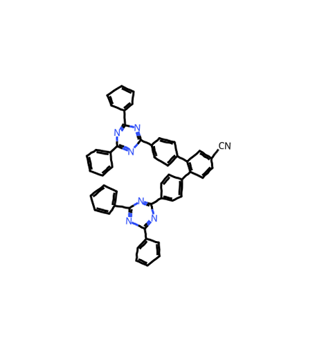 N#Cc1ccc(-c2ccc(-c3nc(-c4ccccc4)nc(-c4ccccc4)n3)cc2)c(-c2ccc(-c3nc(-c4ccccc4)nc(-c4ccccc4)n3)cc2)c1